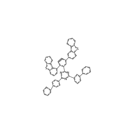 c1c(-c2ccc3sc4ccccc4c3c2)cc(-c2nc(-c3ccc(-c4ccccc4)cc3)nc(-c3cccc(-c4ccccc4)c3)n2)c(-c2cccc3sc4ccccc4c23)c#1